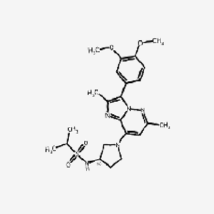 COc1ccc(-c2c(C)nc3c(N4CC[C@@H](NS(=O)(=O)C(C)C)C4)cc(C)nn23)cc1OC